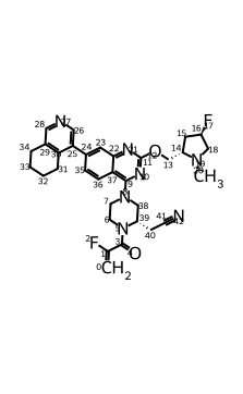 C=C(F)C(=O)N1CCN(c2nc(OC[C@@H]3C[C@@H](F)CN3C)nc3cc(-c4cncc5c4CCCC5)ccc23)C[C@@H]1CC#N